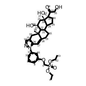 CCOP(=O)(COc1cccc(-n2ncc3c2C=C2CCC4C([C@@H](O)C[C@@]5(C)C4CC[C@]5(O)C(=O)CO)[C@@]2(C)C3)c1)OCC